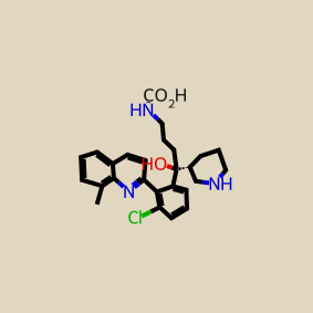 Cc1cccc2ccc(-c3c(Cl)cccc3C(O)(CCCNC(=O)O)[C@@H]3CCCNC3)nc12